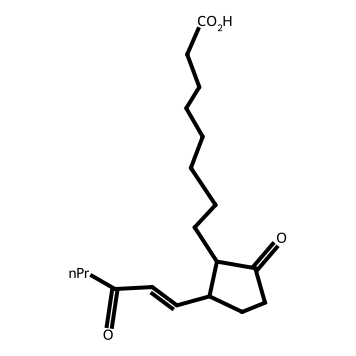 CCCC(=O)/C=C/C1CCC(=O)C1CCCCCCCC(=O)O